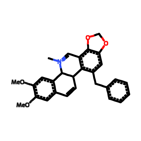 COc1cc2c(cc1OC)C1C(C=C2)c2c(Cc3ccccc3)cc3c(c2C=[N+]1C)OCO3